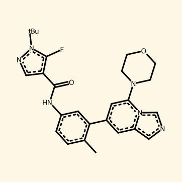 Cc1ccc(NC(=O)c2cnn(C(C)(C)C)c2F)cc1-c1cc(N2CCOCC2)n2cncc2c1